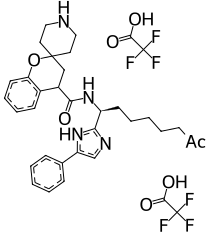 CC(=O)CCCCC[C@H](NC(=O)C1CC2(CCNCC2)Oc2ccccc21)c1ncc(-c2ccccc2)[nH]1.O=C(O)C(F)(F)F.O=C(O)C(F)(F)F